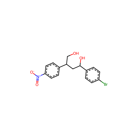 O=[N+]([O-])c1ccc(C(CO)CC(O)c2ccc(Br)cc2)cc1